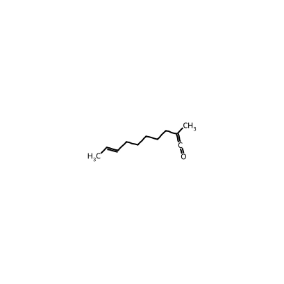 C/C=C/CCCCCC(C)=C=O